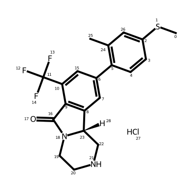 CSc1ccc(-c2cc3c(c(C(F)(F)F)c2)C(=O)N2CCNC[C@@H]32)c(C)c1.Cl